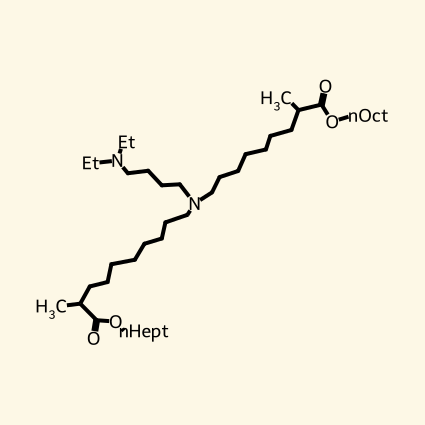 CCCCCCCCOC(=O)C(C)CCCCCCCN(CCCCCCCCC(C)C(=O)OCCCCCCC)CCCCN(CC)CC